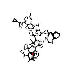 CCC[C@H](NC(=O)[C@@H]1C[C@@H](Oc2ncnc3ccccc23)CN1C(=O)[C@@H](NC(=O)[C@@H](NC(=O)c1[nH]c(C)c(C)c1C(C)=O)C1CCCCC1)C(C)(C)C)C(=O)C(=O)NC1CC1